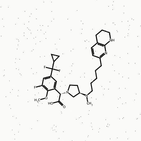 COc1c(F)cc(C(F)(F)C2CC2)cc1[C@@H](C(=O)O)N1CC[C@@H](N(C)CCCCCc2ccc3c(n2)NCCC3)C1